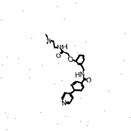 CN(C)CCNC(=O)COc1cccc(CNC(=O)c2ccc(-c3ccncc3)cc2)c1